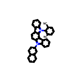 N#Cc1cccc(C#N)c1-n1c2ccccc2c2ccc3c(c4ccccc4n3-c3ccc4ccccc4c3)c21